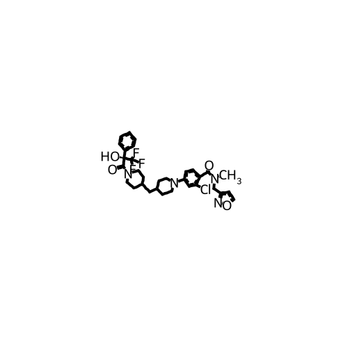 CN(Cc1ccon1)C(=O)c1ccc(N2CCC(CC3CCN(C(=O)[C@](O)(c4ccccc4)C(F)(F)F)CC3)CC2)cc1Cl